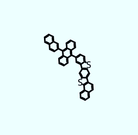 c1ccc2cc(-c3c4ccccc4c(-c4ccc5sc6cc7c(cc6c5c4)sc4c5ccccc5ccc74)c4ccccc34)ccc2c1